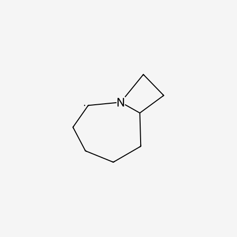 [CH]1CCCCC2CCN12